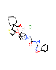 O=C(C[N+]12CCC(CC1)[C@@H](OC(=O)C1(c3cccs3)CCCCCC1)C2)Nc1noc2ccccc12.[Cl-]